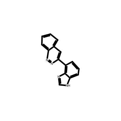 [c]1nc2c(-c3cc4ccccc4nn3)cccc2[nH]1